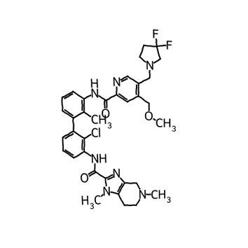 COCc1cc(C(=O)Nc2cccc(-c3cccc(NC(=O)c4nc5c(n4C)CCN(C)C5)c3Cl)c2C)ncc1CN1CCC(F)(F)C1